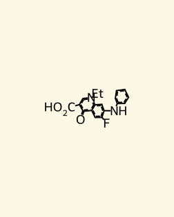 CCn1cc(C(=O)O)c(=O)c2cc(F)c(Nc3ccccc3)cc21